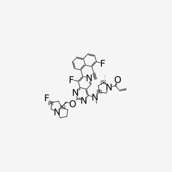 C#Cc1c(F)ccc2cccc(-c3ncc4c(N(C)[C@@H]5C[C@H](C)N(C(=O)C=C)C5)nc(OC[C@@]56CCCN5C[C@H](F)C6)nc4c3F)c12